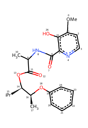 COc1ccnc(C(=O)NC(C)C(=O)O[C@H](C(C)C)[C@H](C)Oc2ccccc2)c1O